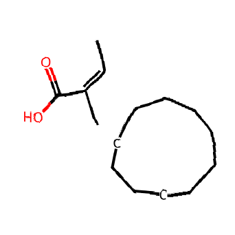 C1CCCCCCCCC1.CC=C(C)C(=O)O